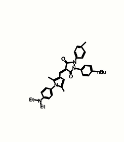 CCCCc1ccc(N2C(=O)/C(=C\c3cc(C)n(-c4ccc(N(CC)CC)cc4)c3C)C(=O)N2c2ccc(C)cc2)cc1